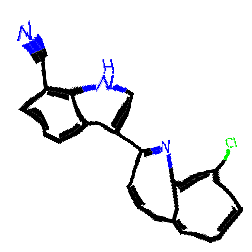 N#Cc1cccc2c(-c3ccc4cccc(Cl)c4n3)c[nH]c12